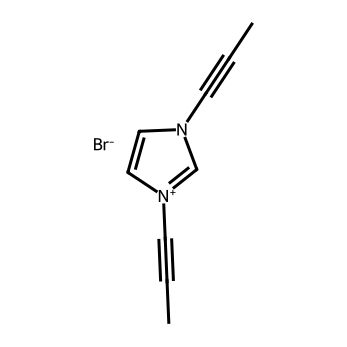 CC#Cn1cc[n+](C#CC)c1.[Br-]